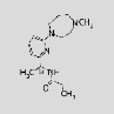 CCC(=O)N[C@@H](C)c1cccc(N2CCCN(C)CC2)n1